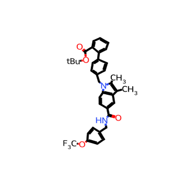 Cc1c(C)n(Cc2ccc(-c3ccccc3C(=O)OC(C)(C)C)cc2)c2ccc(C(=O)NCc3ccc(OC(F)(F)F)cc3)cc12